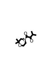 CC(C)C(=O)C(=O)N1CCOC(C)(C)C1